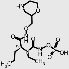 CCC[C@@H](C(=O)NOCC1CNCCO1)N(CC)C(=O)NOS(=O)(=O)O